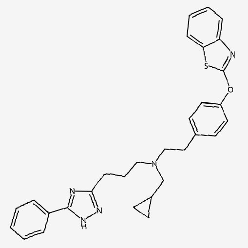 c1ccc(-c2nc(CCCN(CCc3ccc(Oc4nc5ccccc5s4)cc3)CC3CC3)n[nH]2)cc1